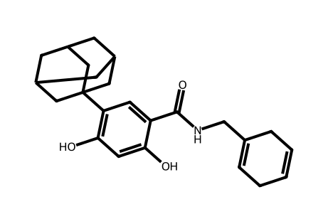 O=C(NCC1=CCC=CC1)c1cc(C23CC4CC(CC(C4)C2)C3)c(O)cc1O